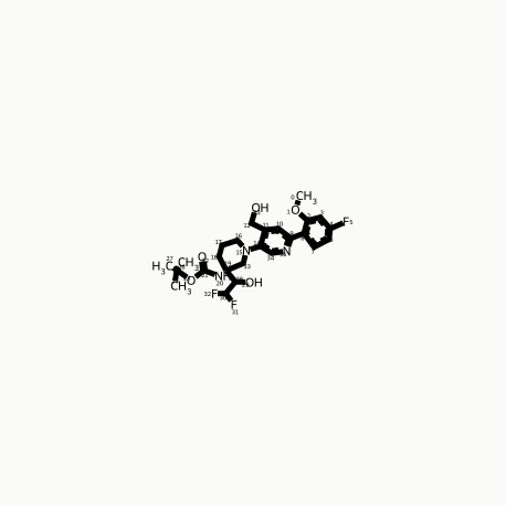 COc1cc(F)ccc1-c1cc(CO)c(N2CCCC(NC(=O)OC(C)(C)C)(C(O)C(F)F)C2)cn1